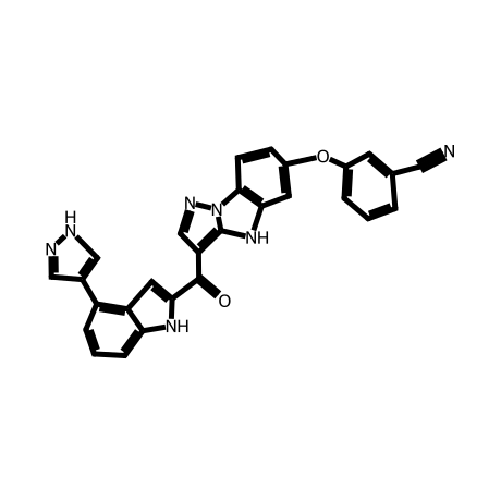 N#Cc1cccc(Oc2ccc3c(c2)[nH]c2c(C(=O)c4cc5c(-c6cn[nH]c6)cccc5[nH]4)cnn23)c1